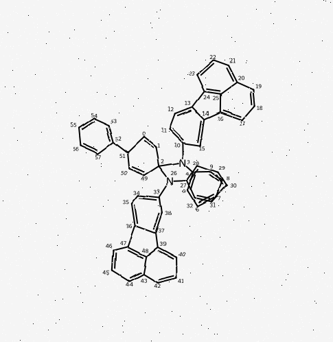 C1=CC(N(c2ccccc2)c2ccc3c(c2)-c2cccc4cccc-3c24)(N(c2ccccc2)c2ccc3c(c2)-c2cccc4cccc-3c24)C=CC1c1ccccc1